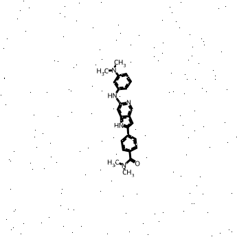 CN(C)C(=O)c1ccc(-c2cc3cnc(Nc4cccc(N(C)C)c4)cc3[nH]2)cc1